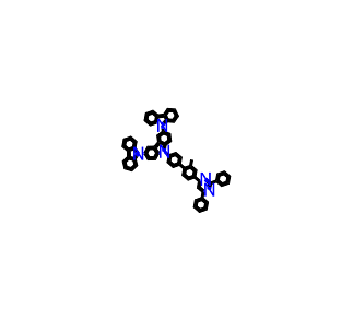 Cc1cc(-c2cc(-c3ccccc3)nc(-c3ccccc3)n2)ccc1-c1ccc(-n2c3ccc(-n4c5ccccc5c5ccccc54)cc3c3cc(-n4c5ccccc5c5ccccc54)ccc32)cc1